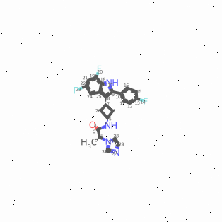 C[C@H](C(=O)N[C@H]1C[C@@H](c2c(-c3ccc(F)cc3)[nH]c3c(F)cc(F)cc32)C1)n1ccnc1